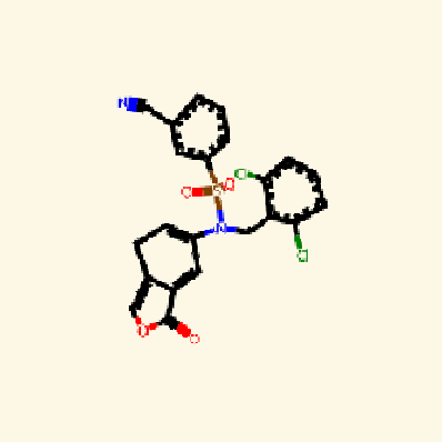 N#Cc1cccc(S(=O)(=O)N(Cc2c(Cl)cccc2Cl)C2=CCC3=COC(=O)C3=C2)c1